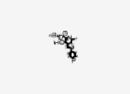 CCCCOC(=O)c1nc(C)c2sc(-c3ccc(F)cc3)cc2c1O